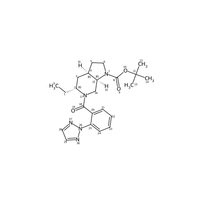 CC[C@@H]1C[C@H]2CCN(C(=O)OC(C)(C)C)[C@H]2CN1C(=O)c1ccccc1-n1nccn1